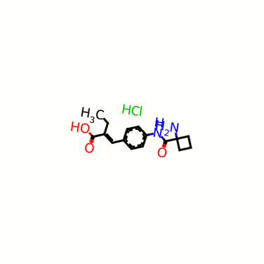 CC/C(=C\c1ccc(NC(=O)C2(N)CCC2)cc1)C(=O)O.Cl